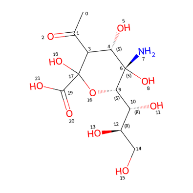 CC(=O)C1[C@H](O)[C@](N)(O)[C@H]([C@H](O)[C@H](O)CO)OC1(O)C(=O)O